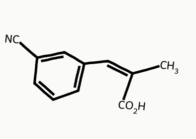 C/C(=C/c1cccc(C#N)c1)C(=O)O